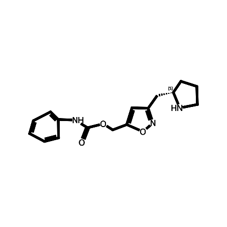 O=C(Nc1ccccc1)OCc1cc(C[C@@H]2CCCN2)no1